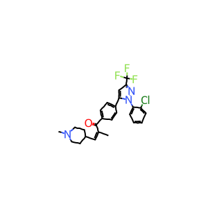 C/C(=C/C1CCN(C)CC1)C(=O)c1ccc(-c2cc(C(F)(F)F)nn2-c2ccccc2Cl)cc1